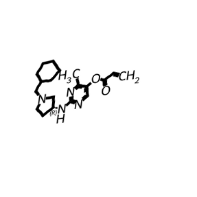 C=CC(=O)Oc1cnc(N[C@@H]2CCN(CC3CCCCC3)C2)nc1C